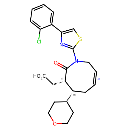 O=C(O)C[C@@H]1C(=O)N(c2nc(-c3ccccc3Cl)cs2)C/C=C\C[C@@H]1C1CCOCC1